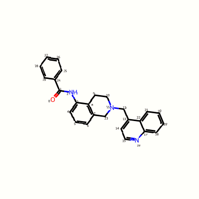 O=C(Nc1cccc2c1CCN(Cc1ccnc3ccccc13)C2)c1ccccc1